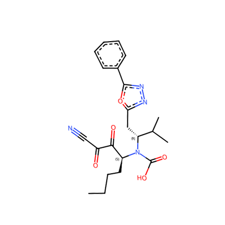 CCCC[C@@H](C(=O)C(=O)C#N)N(C(=O)O)[C@H](Cc1nnc(-c2ccccc2)o1)C(C)C